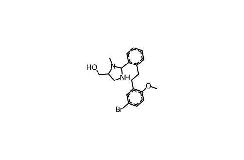 COc1ccc(Br)cc1CCc1ccccc1C1NCC(CO)N1C